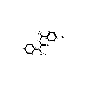 CC(SC(=O)N(C)C1CCCCC1)c1ccc(Cl)cc1